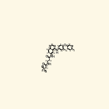 Cc1ccc(Oc2ccc(Nc3ncnc4ccc(NC(=O)CCNC(=O)CS(C)(=O)=O)cc34)cc2C)cn1